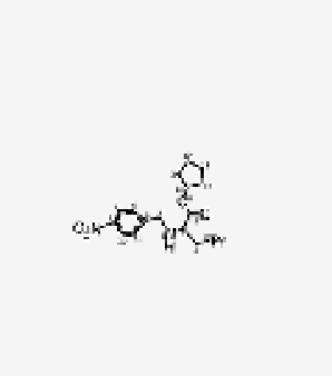 CC(C)CC(NCc1ccc([N+](=O)[O-])cc1)C(=O)OC1CCCC1